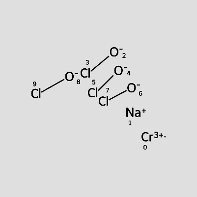 [Cr+3].[Na+].[O-]Cl.[O-]Cl.[O-]Cl.[O-]Cl